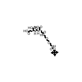 CC(C)(C)C(C(C)(C)C)(C(C)(C)C)C(C)(C)OC(=O)NCCOCCOCCNC(=O)CC[C@H](NC(=O)N[C@@H](CCC(=O)O)C(=O)O)C(=O)O